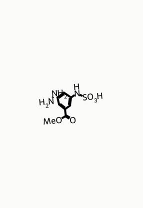 COC(=O)c1cccc(NS(=O)(=O)O)c1.NN